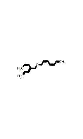 C=C/C=C\C=C/COCC(/C=C\C)=C/C=C